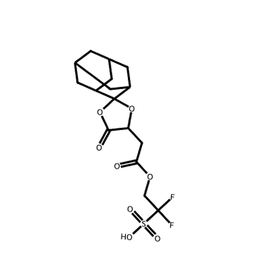 O=C(CC1OC2(OC1=O)C1CC3CC(C1)CC2C3)OCC(F)(F)S(=O)(=O)O